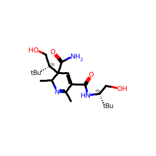 CC1=NC(C)C(C(N)=O)([C@@H](CO)C(C)(C)C)C=C1C(=O)N[C@H](CO)C(C)(C)C